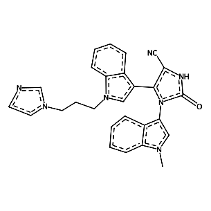 Cn1cc(-n2c(-c3cn(CCCn4ccnc4)c4ccccc34)c(C#N)[nH]c2=O)c2ccccc21